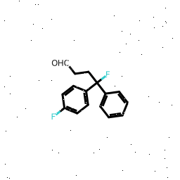 O=CCCC(F)(c1ccccc1)c1ccc(F)cc1